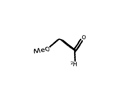 [2H]C(=O)COC